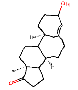 C[C@]12CCC3[C@@H](CCC4=CC(O)CC[C@@H]43)C1CCC2=O